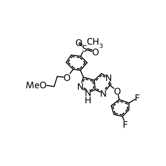 COCCOc1ccc(S(C)(=O)=O)cc1-c1n[nH]c2nc(Oc3ccc(F)cc3F)ncc12